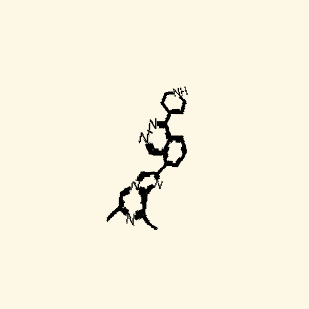 Cc1cn2cc(-c3cccc4c(C5=CCNCC5)nncc34)nc2c(C)n1